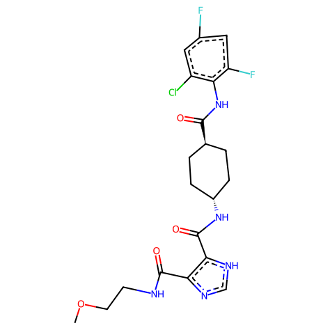 COCCNC(=O)c1nc[nH]c1C(=O)N[C@H]1CC[C@H](C(=O)Nc2c(F)cc(F)cc2Cl)CC1